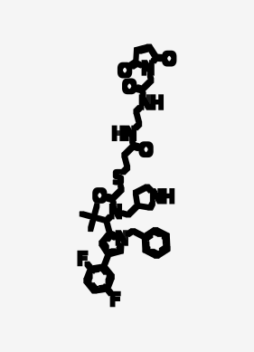 CC(C)(C)C(c1cc(-c2cc(F)ccc2F)cn1Cc1ccccc1)N(CC1CCNC1)C(=O)CSCCC(=O)NCCNC(=O)CN1C(=O)C=CC1=O